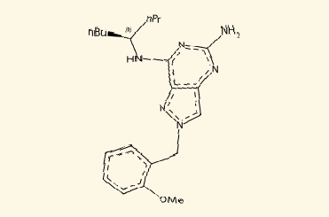 CCCC[C@@H](CCC)Nc1nc(N)nc2cn(Cc3ccccc3OC)nc12